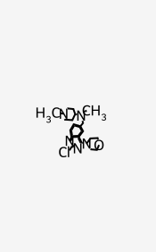 CN1CCC(N(C)Cc2ccc3nc(Cl)nc(N4CCOCC4)c3c2)CC1